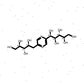 OC[C@@H](O)[C@@H](O)[C@@H](O)Cc1cnc([C@@H](O)[C@H](O)[C@H](O)[C@H](O)CO)cn1